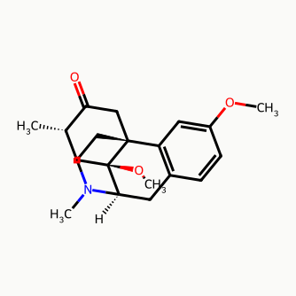 COc1ccc2c(c1)[C@]13CCN(C)[C@H](C2)[C@]1(OC)C[C@H](C)C(=O)C3